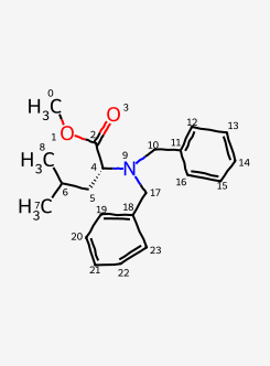 COC(=O)[C@@H](CC(C)C)N(Cc1ccccc1)Cc1ccccc1